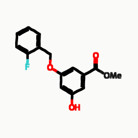 COC(=O)c1cc(O)cc(OCc2ccccc2F)c1